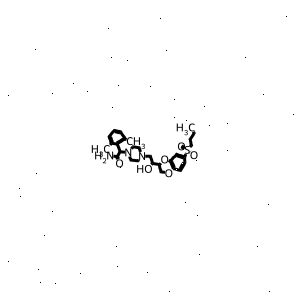 CCCCS(=O)(=O)c1ccc2c(c1)OC(C(O)CN1CCN(C(C(N)=O)c3c(C)cccc3C)CC1)CO2